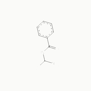 [CH2]C(N)NC(=O)c1ccccc1